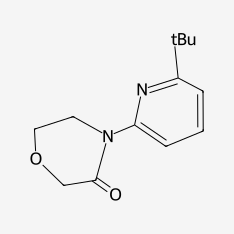 CC(C)(C)c1cccc(N2CCOCC2=O)n1